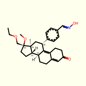 CCOC[C@]1(OC)CC[C@H]2[C@@H]3CCC4=CC(=O)CCC4=C3[C@@H](c3ccc(C=NO)cc3)C[C@@]21C